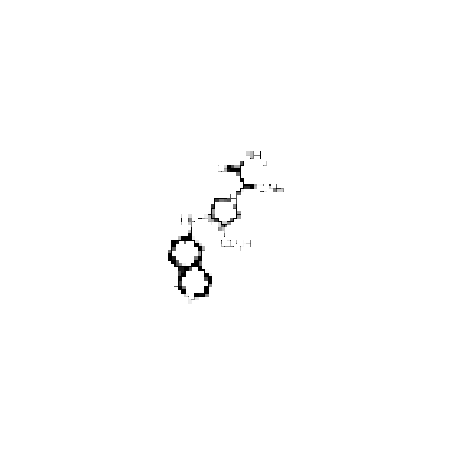 COC(C(N)=O)N1C[C@H](Nc2ccc3cnccc3c2)[C@@H](C(=O)O)C1